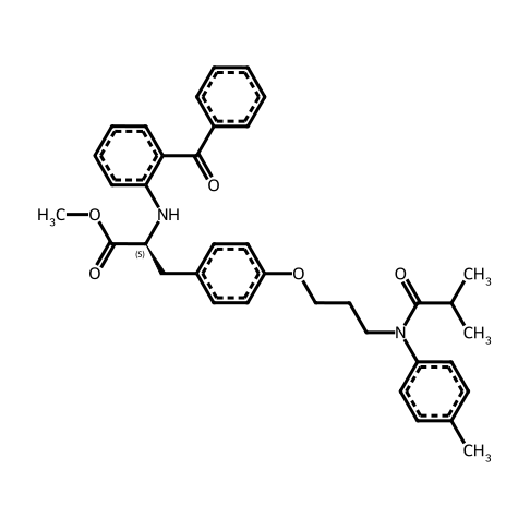 COC(=O)[C@H](Cc1ccc(OCCCN(C(=O)C(C)C)c2ccc(C)cc2)cc1)Nc1ccccc1C(=O)c1ccccc1